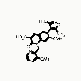 COc1cc2c(cc1-c1c(C)noc1C)cc(C(=O)O)c(=O)n2Cc1ncccc1OC